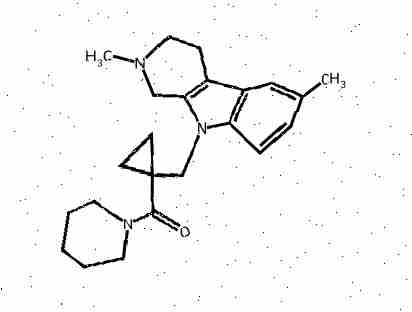 Cc1ccc2c(c1)c1c(n2CC2(C(=O)N3CCCCC3)CC2)CN(C)CC1